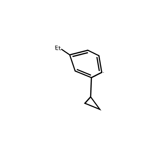 CCc1cc[c]c(C2CC2)c1